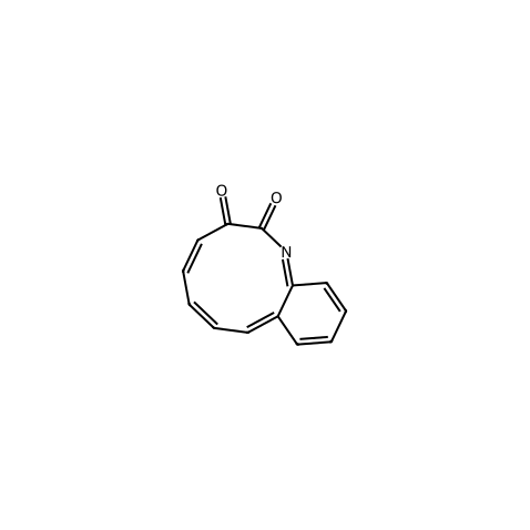 O=C1C=CC=CC=c2ccccc2=NC1=O